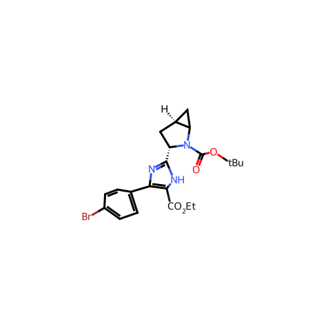 CCOC(=O)c1[nH]c([C@@H]2C[C@H]3CC3N2C(=O)OC(C)(C)C)nc1-c1ccc(Br)cc1